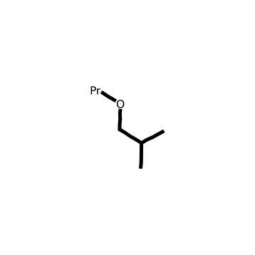 CC(C)C[O][Pr]